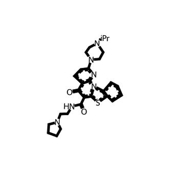 CC(C)N1CCN(c2ccc3c(=O)c(C(=O)NCCN4CCCC4)c4sc5ccccc5n4c3n2)CC1